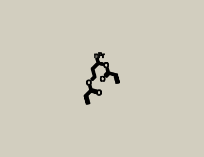 C=CC(=O)OCC[C](CCC)OC(=O)C=C